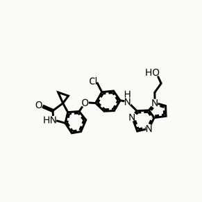 O=C1Nc2cccc(Oc3ccc(Nc4ncnc5ccn(CCO)c45)cc3Cl)c2C12CC2